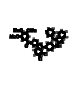 COc1cc(C(=O)N2CCC(CCN3CCC(Nc4nc5ccccc5n4Cc4cccnc4)CC3)(c3ccc(Cl)c(Cl)c3)C2)cc(OC)c1OC